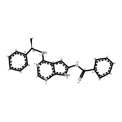 C[C@@H](Nc1ncnc2[nH]c(OC(=O)c3ccccc3)cc12)c1ccccc1